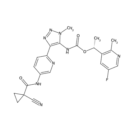 Cc1ncc(F)cc1[C@@H](C)OC(=O)Nc1c(-c2ccc(NC(=O)C3(C#N)CC3)cn2)nnn1C